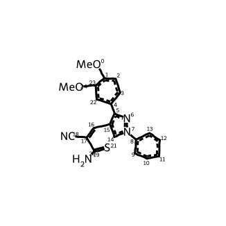 COc1ccc(-c2nn(-c3ccccc3)cc2/C=C(/C#N)C(N)=S)cc1OC